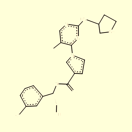 Cc1cnc(NC2CCNC2)nc1-n1ccc(C(=O)N[C@H](CO)c2cccc(Cl)c2)c1